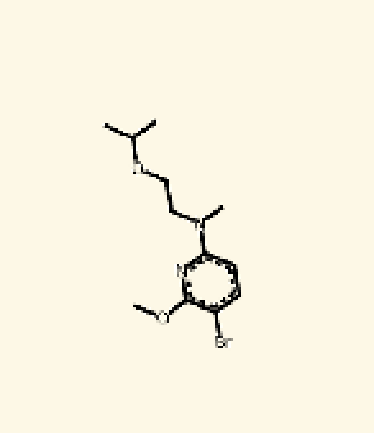 COc1nc(N(C)CCOC(C)C)ccc1Br